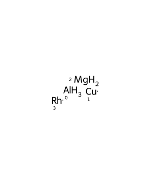 [AlH3].[Cu].[MgH2].[Rh]